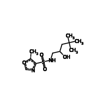 Cc1ocnc1S(=O)(=O)NCC(O)CC(C)(C)C